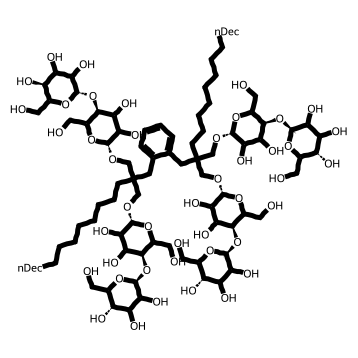 CCCCCCCCCCCCCCCCCCC(CO[C@@H]1OC(CO)[C@@H](O[C@@H]2OC(CO)[C@@H](O)C(O)C2O)C(O)C1O)(CO[C@@H]1OC(CO)[C@@H](O[C@@H]2OC(CO)[C@@H](O)C(O)C2O)C(O)C1O)Cc1ccccc1CC(CCCCCCCCCCCCCCCCCC)(CO[C@@H]1OC(CO)[C@@H](O[C@@H]2OC(CO)[C@@H](O)C(O)C2O)C(O)C1O)CO[C@@H]1OC(CO)[C@@H](O[C@@H]2OC(CO)[C@@H](O)C(O)C2O)C(O)C1O